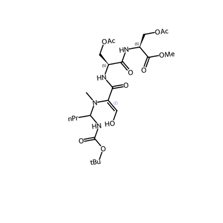 CCCC(NC(=O)OC(C)(C)C)N(C)/C(=C\O)C(=O)N[C@@H](COC(C)=O)C(=O)N[C@@H](COC(C)=O)C(=O)OC